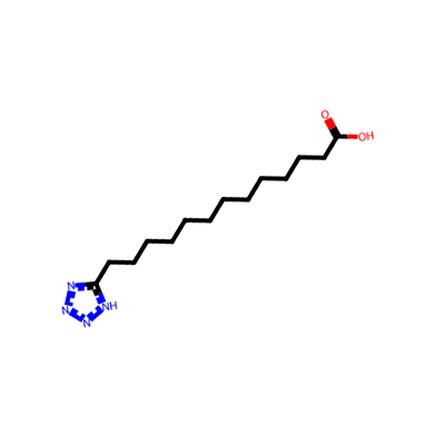 O=C(O)CCCCCCCCCCCCc1nnn[nH]1